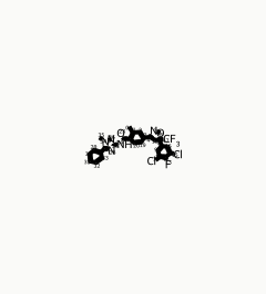 Cc1cc(C2=NOC(c3cc(Cl)c(F)c(Cl)c3)(C(F)(F)F)C2)ccc1C(=O)Nc1nc(-c2ccccc2)n(C)n1